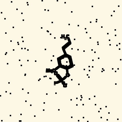 CC=Cc1ccc(OS(=O)(=O)F)c(OC)c1